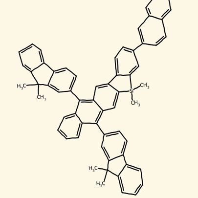 CC1(C)c2ccccc2-c2ccc(-c3c4ccccc4c(-c4ccc5c(c4)C(C)(C)c4ccccc4-5)c4cc5c(cc34)-c3ccc(-c4ccc6ccccc6c4)cc3[Si]5(C)C)cc21